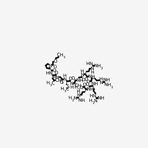 CCCOCC(=O)N1CCC[C@H]1C(=O)N[C@@H](CC(C)C)C(=O)NCC(=O)N[C@@H](CSC)C(=O)N[C@@H](C)C(=O)NCC(=O)N[C@H](CCCNC(=N)N)C(=O)N[C@H](CCCNC(=N)N)C(=O)N[C@H](CCCNC(=N)N)C(=O)N[C@H](CCCNC(=N)N)C(C)=O